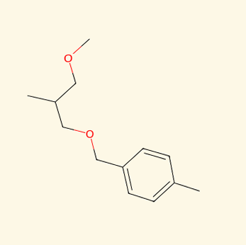 COCC(C)COCc1ccc(C)cc1